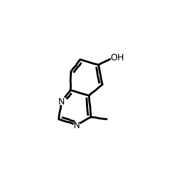 Cc1ncnc2ccc(O)cc12